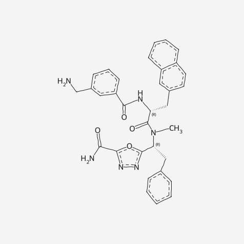 CN(C(=O)[C@@H](Cc1ccc2ccccc2c1)NC(=O)c1cccc(CN)c1)[C@H](Cc1ccccc1)c1nnc(C(N)=O)o1